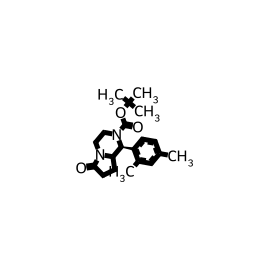 Cc1ccc([C@H]2C3CCC(=O)N3CCN2C(=O)OC(C)(C)C)c(C)c1